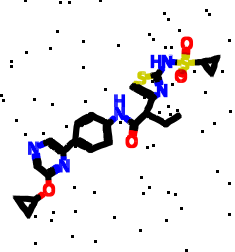 CCC(C(=O)Nc1ccc(-c2cncc(OC3CC3)n2)cc1)c1csc(NS(=O)(=O)C2CC2)n1